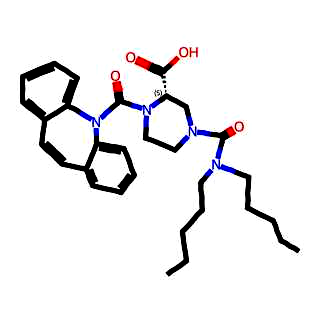 CCCCCN(CCCCC)C(=O)N1CCN(C(=O)N2c3ccccc3C=Cc3ccccc32)[C@H](C(=O)O)C1